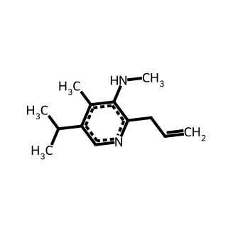 C=CCc1ncc(C(C)C)c(C)c1NC